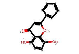 O=c1cc(-c2ccccc2)oc2c(O)ccc(O)c12